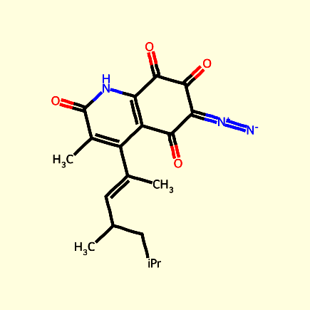 C/C(=C\C(C)CC(C)C)c1c(C)c(=O)[nH]c2c(=O)c(=O)c(=[N+]=[N-])c(=O)c12